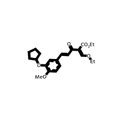 CCOC=C(C(=O)C=Cc1ccc(OC)c(OC2CCCC2)c1)C(=O)OCC